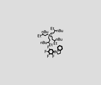 CCCCC(CC)C[CH2][Al-]([CH2]CC(CC)CCCC)([CH2]CC(CC)CCCC)[CH2]CC(CC)CCCC.Fc1cc([NH+]2CCc3ccccc32)c(F)c(F)c1F